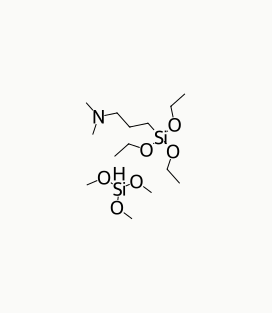 CCO[Si](CCCN(C)C)(OCC)OCC.CO[SiH](OC)OC